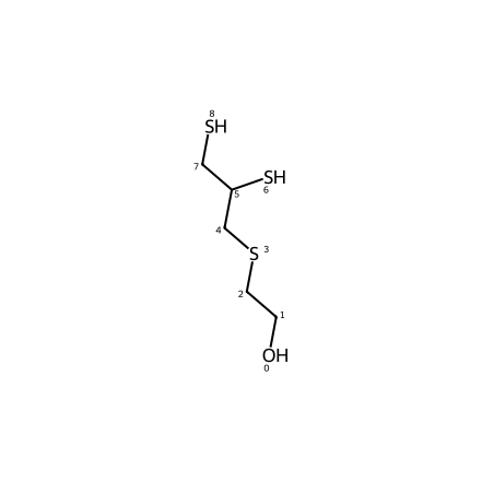 OCCSCC(S)CS